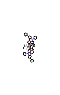 C[Si](C)(C)C1([Si](C)(C)C)c2c(ccc3cc(N(c4ccccc4)c4ccc(-c5ccccc5)cc4-c4ccccc4)ccc23)-c2ccc3cc(N(c4ccccc4)c4ccc(-c5ccccc5)cc4-c4ccccc4)ccc3c21